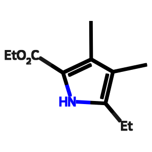 CCOC(=O)c1[nH]c(CC)c(C)c1C